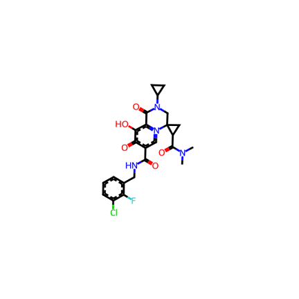 CN(C)C(=O)C1CC12CN(C1CC1)C(=O)c1c(O)c(=O)c(C(=O)NCc3cccc(Cl)c3F)cn12